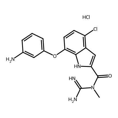 CN(C(=N)N)C(=O)c1cc2c(Cl)ccc(Oc3cccc(N)c3)c2[nH]1.Cl